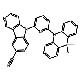 CC1(C)c2ccccc2N(c2cccc(-n3c4ccncc4c4cc(C#N)ccc43)n2)c2ccccc21